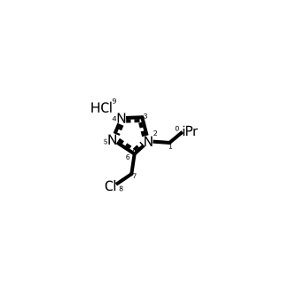 CC(C)Cn1cnnc1CCl.Cl